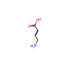 NC/C=C/C(=O)O